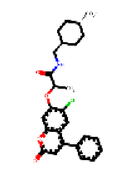 CC(Oc1cc2oc(=O)cc(-c3ccccc3)c2cc1Cl)C(=O)NC[C@H]1CC[C@H](C(=O)O)CC1